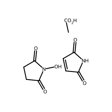 CC(=O)O.O=C1C=CC(=O)N1.O=C1CCC(=O)N1O